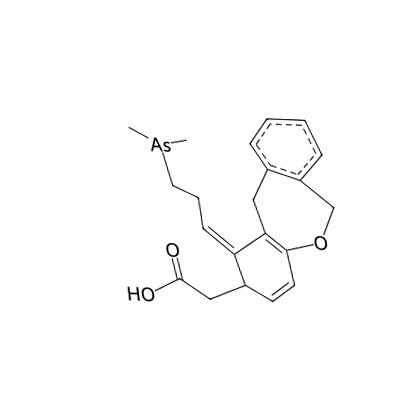 C[As](C)CCC=C1C2=C(C=CC1CC(=O)O)OCc1ccccc1C2